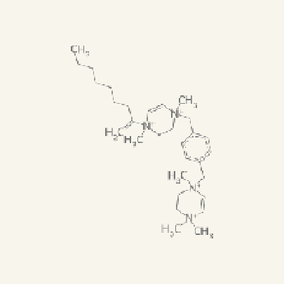 C=C(CCCCCCC)[N+]1(C)C=C[N+](C)(Cc2ccc(C[N+]3(C)C=C[N+](C)(C)CC3)cc2)CC1